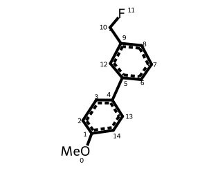 COc1ccc(-c2cccc([CH]F)c2)cc1